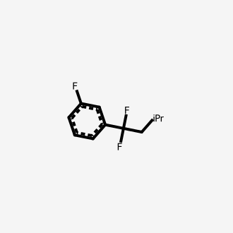 CC(C)CC(F)(F)c1cccc(F)c1